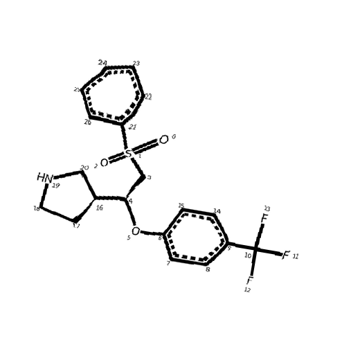 O=S(=O)(C[C@@H](Oc1ccc(C(F)(F)F)cc1)[C@H]1CCNC1)c1ccccc1